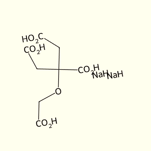 O=C(O)COC(CC(=O)O)(CC(=O)O)C(=O)O.[NaH].[NaH]